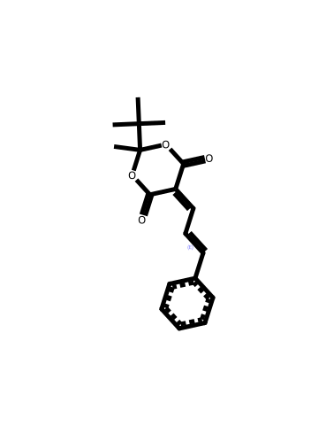 CC(C)(C)C1(C)OC(=O)C(=C/C=C/c2ccccc2)C(=O)O1